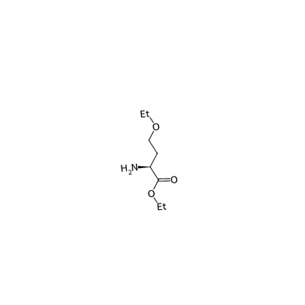 CCOCC[C@H](N)C(=O)OCC